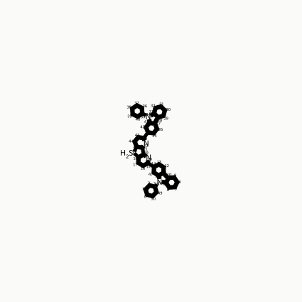 c1ccc(-n2c3ccccc3c3ccc(-c4ccc5c(n4)-c4nc(-c6ccc7c8ccccc8n(-c8ccccc8)c7c6)ccc4[SiH2]5)cc32)cc1